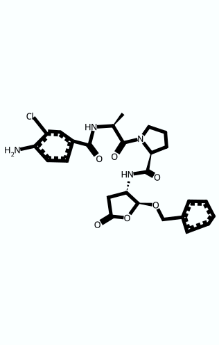 C[C@H](NC(=O)c1ccc(N)c(Cl)c1)C(=O)N1CCC[C@H]1C(=O)N[C@H]1CC(=O)O[C@@H]1OCc1ccccc1